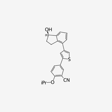 CC(C)Oc1ccc(-c2cc(-c3cccc4c3CC[C@H]4O)cs2)cc1C#N